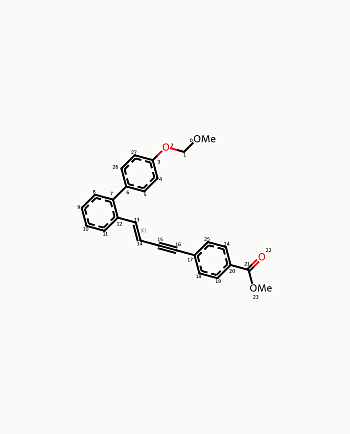 COCOc1ccc(-c2ccccc2/C=C/C#Cc2ccc(C(=O)OC)cc2)cc1